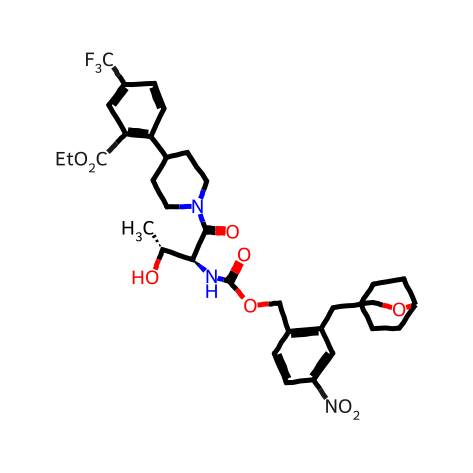 CCOC(=O)c1cc(C(F)(F)F)ccc1C1CCN(C(=O)[C@@H](NC(=O)OCc2ccc([N+](=O)[O-])cc2CC23CCC(CC2)OC3)[C@@H](C)O)CC1